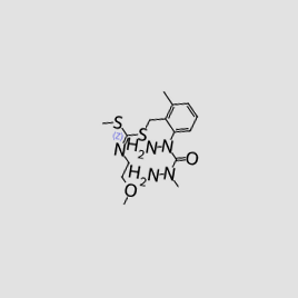 COCC/N=C(/SC)SCc1c(C)cccc1N(N)C(=O)N(C)N